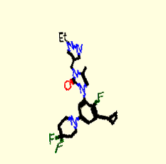 CCn1cc(Cn2c(C)cn(-c3cc(N4CCC(F)(F)CC4)cc(C4CC4)c3F)c2=O)cn1